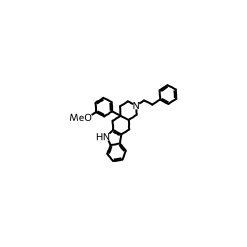 COc1cccc(C23CCN(CCc4ccccc4)CC2Cc2c([nH]c4ccccc24)C3)c1